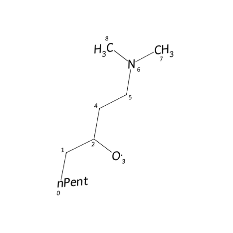 CCCCCCC([O])CCN(C)C